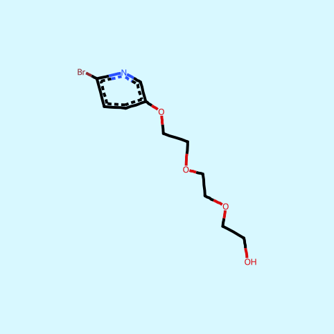 OCCOCCOCCOc1ccc(Br)nc1